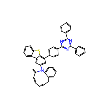 C=C1/C=C\C=C/Cc2ccccc2N1c1cc(-c2ccc(-c3nc(-c4ccccc4)nc(-c4ccccc4)n3)cc2)c2sc3ccccc3c2c1